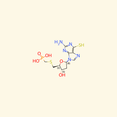 Nc1nc(S)c2ncn([C@H]3C[C@H](O)[C@@H](CSCP(=O)(O)O)O3)c2n1